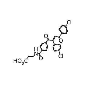 O=C(O)CCNC(=O)c1ccc(C(=O)C(=CC(=O)c2ccc(Cl)cc2)c2ccc(Cl)cc2)cc1